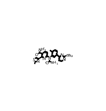 Cc1nc(-c2nc(N(C(N)=O)c3cc(-c4ccnc(C(C)(C)C)n4)ccc3C)ccc2C(N)=O)cs1